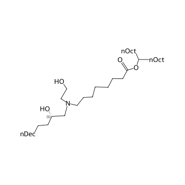 CCCCCCCCCCCC[C@H](O)CN(CCO)CCCCCCCC(=O)OC(CCCCCCCC)CCCCCCCC